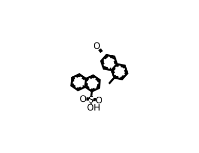 C=O.Cc1cccc2ccccc12.O=S(=O)(O)c1cccc2ccccc12